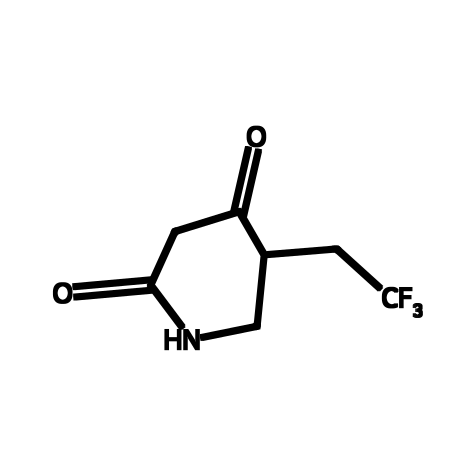 O=C1CC(=O)C(CC(F)(F)F)CN1